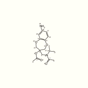 CC(=O)OC1(CN(C(C)=O)C(C)C)COc2ccc(N)cc2OC1